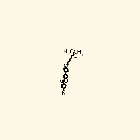 C=C(C)C(=O)CCCCCCOc1ccc(-c2ccc(OC(=O)c3ccc(C#N)cc3)cc2)cc1